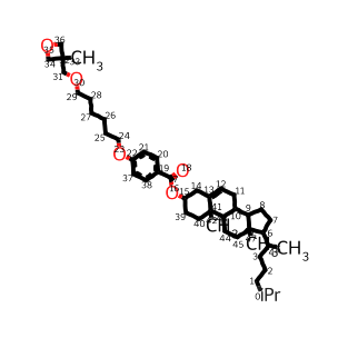 CC(C)CCCC(C)C1CCC2C3CC=C4CC(OC(=O)c5ccc(OCCCCCCOCC6(C)COC6)cc5)CCC4(C)C3CCC12C